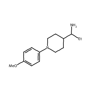 CCC(N)C1CCN(c2ccc(OC)cc2)CC1